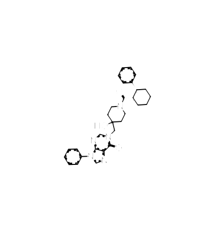 O=C([C@H]1CCCC[C@@H]1c1ccccc1)N1CCC(O)(Cn2cnc3c(ncn3-c3ccccc3)c2=O)CC1